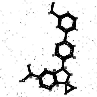 COc1ccnc(-c2cnc(N3CC4(CC4)c4ccc([S+](C)[O-])cc43)nc2)c1